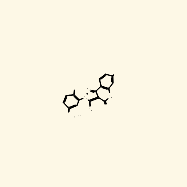 COc1ccc(Cl)c(-n2nc3c(c2N)c(=O)[nH]c2cc(O)ccc23)c1